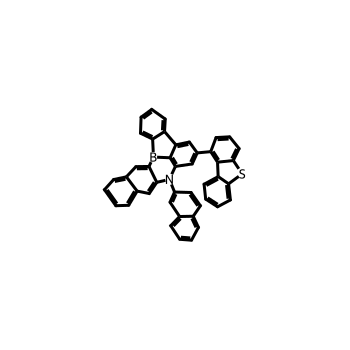 c1ccc2c(c1)B1c3cc4ccccc4cc3N(c3ccc4ccccc4c3)c3cc(-c4cccc5sc6ccccc6c45)cc-2c31